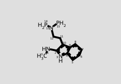 CNc1[nH]c2ccccc2c1CCN(P)P